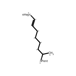 [CH2]CCCCCC/C=C/CCCCC(C)CCCC[CH2]